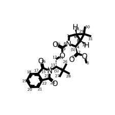 COC(=O)[C@@H]1[C@@H]2[C@H](CN1C(=O)OC[C@@H](N1C(=O)c3ccccc3C1=O)C(C)(C)C)C2(C)C